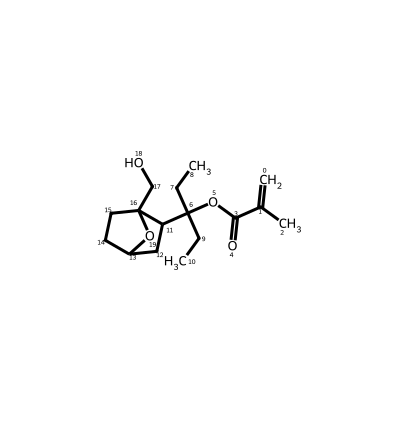 C=C(C)C(=O)OC(CC)(CC)C1CC2CCC1(CO)O2